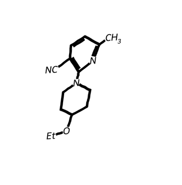 CCOC1CCN(c2nc(C)ccc2C#N)CC1